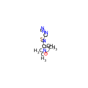 CC(C)N1C(=O)CCC(C)(C)c2cc(-c3csc(-c4ccnc(-n5ccnc5)c4)n3)ccc21